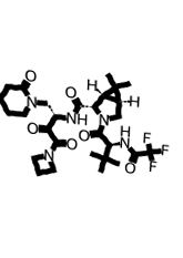 CC(C)(C)[C@H](NC(=O)C(F)(F)F)C(=O)N1C[C@H]2[C@@H]([C@H]1C(=O)N[C@@H](CN1CCCCC1=O)C(=O)C(=O)N1CCC1)C2(C)C